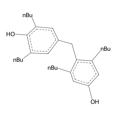 CCCCc1cc(Cc2c(CCCC)cc(O)cc2CCCC)cc(CCCC)c1O